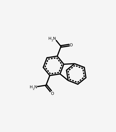 NC(=O)c1ccc(C(N)=O)c2c1-c1cccc-2c1